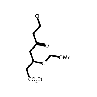 CCOC(=O)CC(CC(=O)CCCl)OCOC